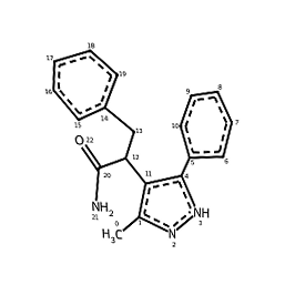 Cc1n[nH]c(-c2ccccc2)c1C(Cc1ccccc1)C(N)=O